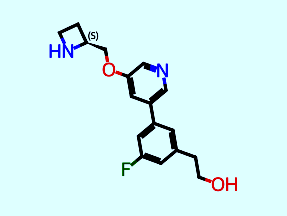 OCCc1cc(F)cc(-c2cncc(OC[C@@H]3CCN3)c2)c1